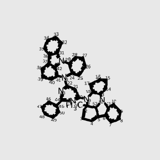 CC12C=CC=C3c4ccccc4N(c4ccccc4N1c1cc(N4c5ccccc5-n5c6ccccc6c6cccc4c65)nc(-c4ccccc4)n1)C32